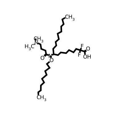 CCCCCCCCCCON(C(=O)CCCN(C)C)C(CCCCCCCCCC)CCCCCCC(F)(F)C(=O)O